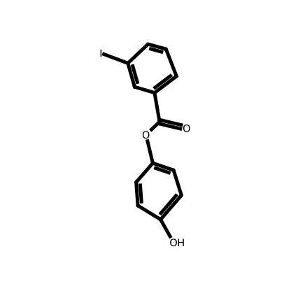 O=C(Oc1ccc(O)cc1)c1cccc(I)c1